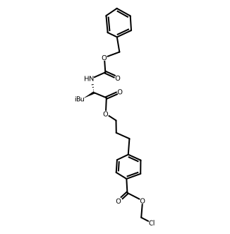 CC[C@H](C)[C@H](NC(=O)OCc1ccccc1)C(=O)OCCCc1ccc(C(=O)OCCl)cc1